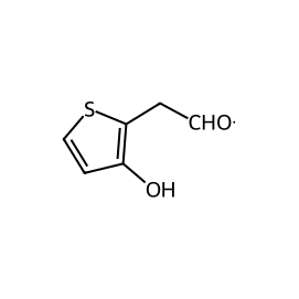 O=[C]Cc1sccc1O